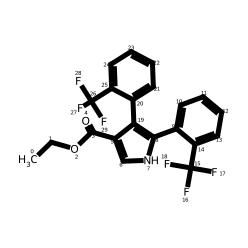 CCOC(=O)c1c[nH]c(-c2ccccc2C(F)(F)F)c1-c1ccccc1C(F)(F)F